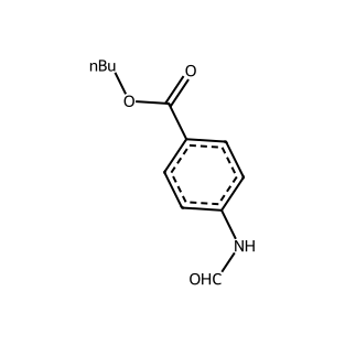 CCCCOC(=O)c1ccc(NC=O)cc1